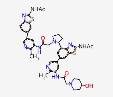 CC(=O)Nc1nc2ccc(-c3cnc(C)c(NC(=O)CN4CCCC4c4cc(-c5cnc(C)c(NC(=O)CN6CCC(O)CC6)c5)cc5sc(NC(C)=O)nc45)c3)cc2s1